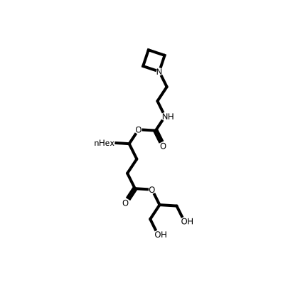 CCCCCCC(CCC(=O)OC(CO)CO)OC(=O)NCCN1CCC1